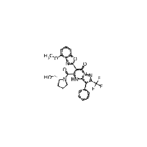 COc1cccc2oc(-c3c(C(=O)N4CCC[C@@H]4CO)[nH]c4c(-c5ccccc5)c(C(F)(F)F)nn4c3=O)nc12